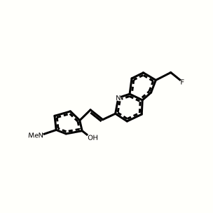 CNc1ccc(C=Cc2ccc3cc(CF)ccc3n2)c(O)c1